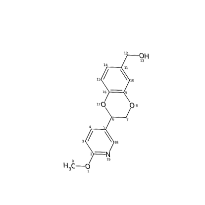 COc1ccc(C2COc3cc(CO)ccc3O2)cn1